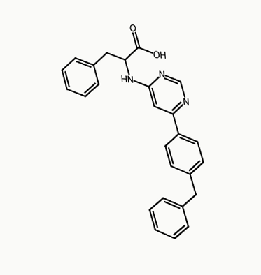 O=C(O)C(Cc1ccccc1)Nc1cc(-c2ccc(Cc3ccccc3)cc2)ncn1